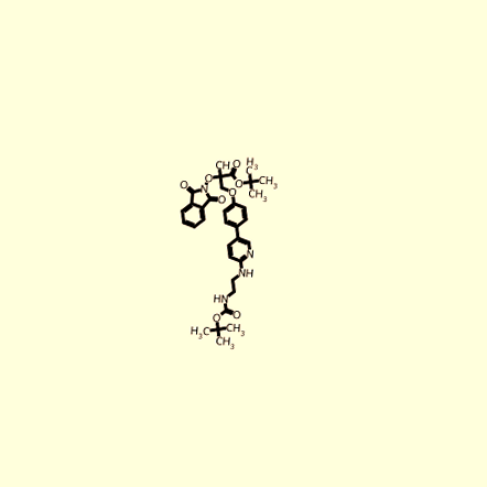 CC(C)(C)OC(=O)NCCNc1ccc(-c2ccc(OCC(C)(ON3C(=O)c4ccccc4C3=O)C(=O)OC(C)(C)C)cc2)cn1